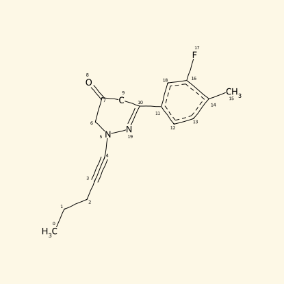 CCCC#CN1CC(=O)CC(c2ccc(C)c(F)c2)=N1